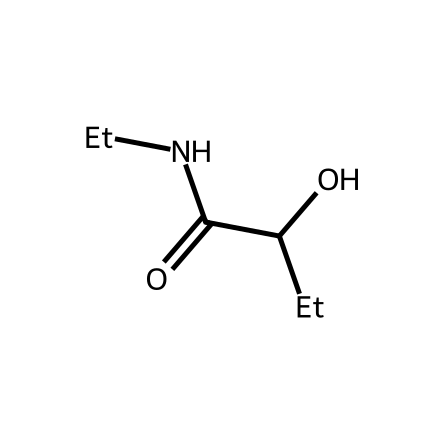 CCNC(=O)C(O)CC